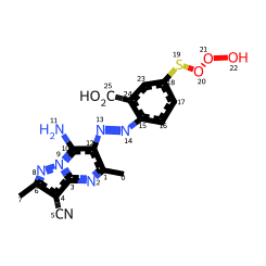 Cc1nc2c(C#N)c(C)nn2c(N)c1/N=N/c1ccc(SOOO)cc1C(=O)O